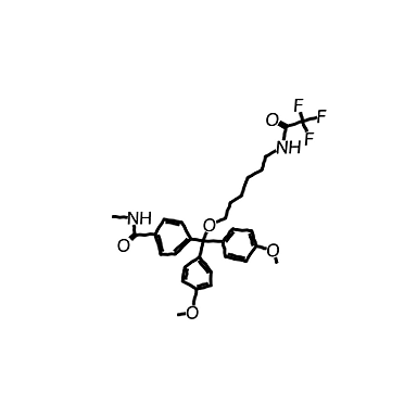 CNC(=O)c1ccc(C(OCCCCCCNC(=O)C(F)(F)F)(c2ccc(OC)cc2)c2ccc(OC)cc2)cc1